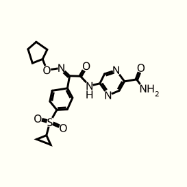 NC(=O)c1cnc(NC(=O)/C(=N/OC2CCCC2)c2ccc(S(=O)(=O)C3CC3)cc2)cn1